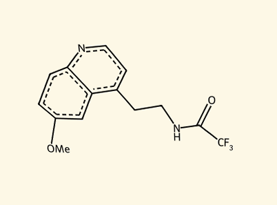 COc1ccc2nccc(CCNC(=O)C(F)(F)F)c2c1